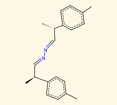 Cc1ccc([C@@H](C)/C=N/N=C/[C@H](C)c2ccc(C)cc2)cc1